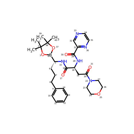 CC1(C)OB([C@@H](CCCc2ccccc2)NC(=O)[C@H](CC(=O)N2CCOCC2)NC(=O)c2cnccn2)OC1(C)C